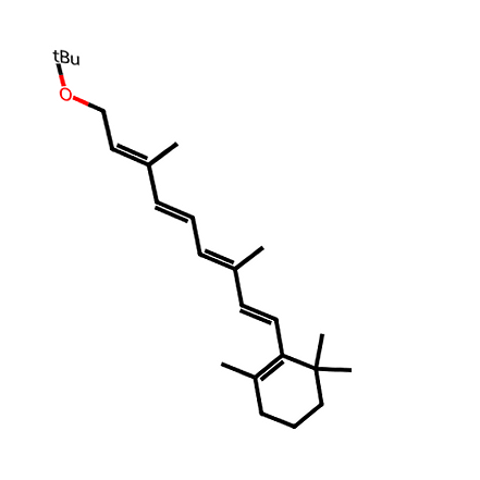 CC1=C(/C=C/C(C)=C/C=C/C(C)=C/COC(C)(C)C)C(C)(C)CCC1